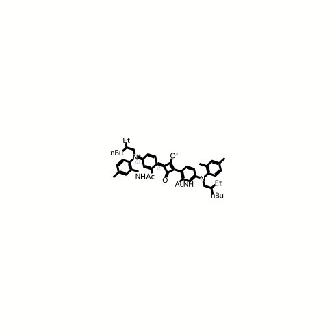 CCCCC(CC)CN(c1ccc(C2=C([O-])/C(=C3C=C/C(=[N+](\CC(CC)CCCC)c4ccc(C)cc4C)C=C\3NC(C)=O)C2=O)c(NC(C)=O)c1)c1ccc(C)cc1C